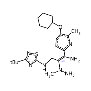 Cc1nc(/C(N)=C(\CNc2nc(C(C)(C)C)ns2)N(C)N)ccc1OC1CCCCC1